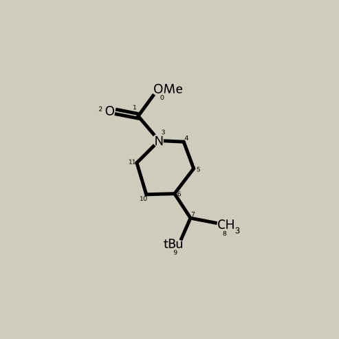 COC(=O)N1CCC(C(C)C(C)(C)C)CC1